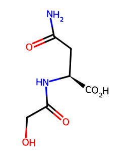 NC(=O)C[C@H](NC(=O)CO)C(=O)O